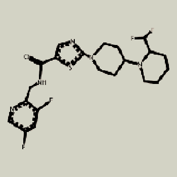 O=C(NCc1ncc(F)cc1F)c1cnc(N2CCC(N3CCCCC3C(F)F)CC2)s1